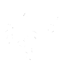 CCN(C1CCC(C(=O)OC)CC1)S(=O)(=O)c1cccc(C(=O)Nc2cc(Br)ccc2Nc2ccc(CCc3ccc(C(=O)OC)cc3)cc2)c1